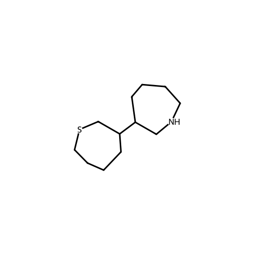 C1CCC(C2CCCCSC2)CNC1